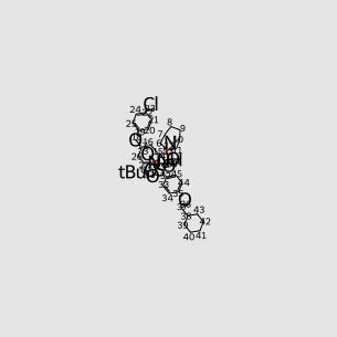 CC(C)(C)OC(=O)NC1CC2CCC(C1)N2C(=O)[C@H]1C[C@H](Oc2ccc(Cl)cc2)CCN1S(=O)(=O)c1ccc(OCC2CCCCC2)cc1